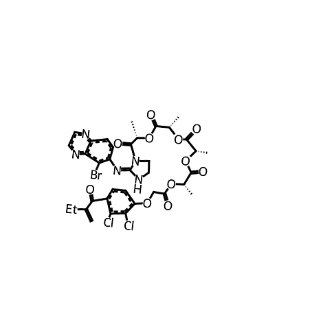 C=C(CC)C(=O)c1ccc(OCC(=O)O[C@@H](C)C(=O)O[C@@H](C)C(=O)O[C@@H](C)C(=O)O[C@@H](C)C(=O)N2CCN/C2=N/c2ccc3nccnc3c2Br)c(Cl)c1Cl